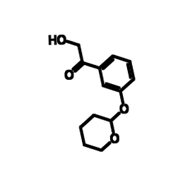 O=C(CO)c1cccc(OC2CCCCO2)c1